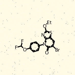 CCOc1nc2c(cc(Br)c(=O)n2-c2ccc(OC(F)F)cc2)s1